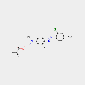 C=C(C)C(=O)OCCN(CC)c1ccc(/N=N/c2ccc([N+](=O)[O-])cc2Cl)c(C)c1